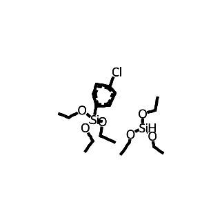 CCO[SiH](OCC)OCC.CCO[Si](OCC)(OCC)c1ccc(Cl)cc1